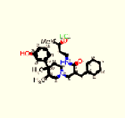 CNC(=O)CCNC(=O)C(CC1CCCCC1)CN1CCC(C)(c2cccc(O)c2)C(C)C1.Cl